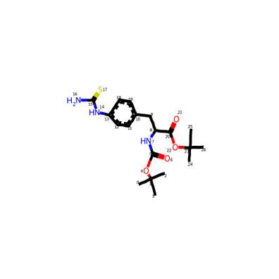 CC(C)(C)OC(=O)NC(Cc1ccc(NC(N)=S)cc1)C(=O)OC(C)(C)C